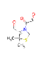 CC1(C)SCN(C(=O)C=O)[C@H]1C=O